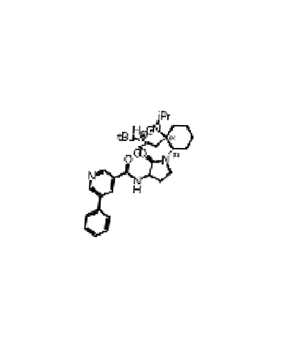 CC(C)N(C)[C@]1(CS(=O)(=O)C(C)(C)C)CCCC[C@@H]1N1CCC(NC(=O)c2cncc(-c3ccccc3)c2)C1=O